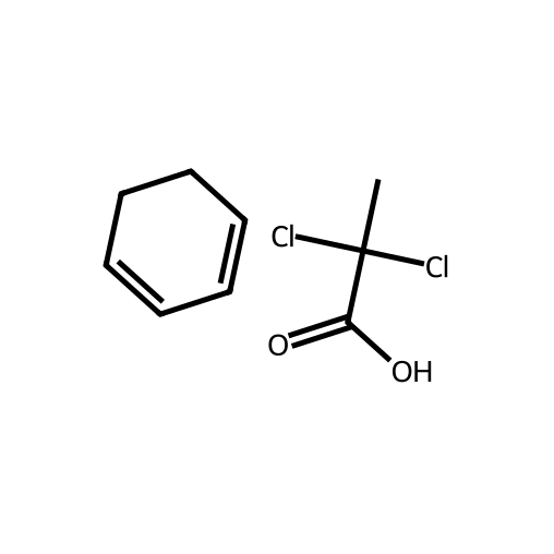 C1=CCCC=C1.CC(Cl)(Cl)C(=O)O